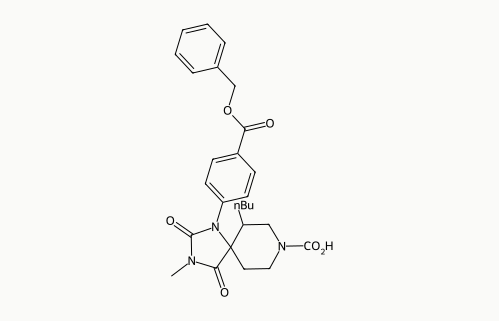 CCCCC1CN(C(=O)O)CCC12C(=O)N(C)C(=O)N2c1ccc(C(=O)OCc2ccccc2)cc1